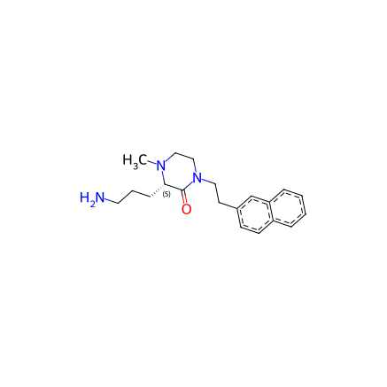 CN1CCN(CCc2ccc3ccccc3c2)C(=O)[C@@H]1CCCN